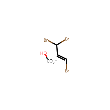 BrC=CC(Br)Br.O=C(O)O